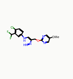 COc1cnc(OC/C(=C/Nc2ccc(Cl)c(C(F)F)c2)N=N)nc1